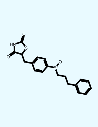 O=C1NC(=O)C(Cc2ccc([S+]([O-])CCCc3ccccc3)cc2)S1